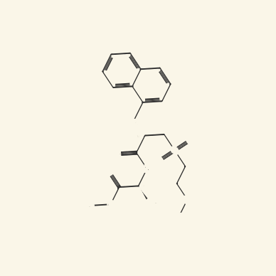 CCCC[C@H](NC(=O)[C@H](Cc1cccc2ccccc12)CS(=O)(=O)CCOC(=O)OCC)C(=O)OC(C)(C)C